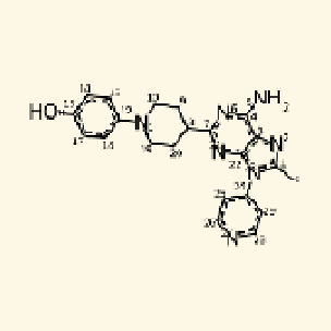 Cc1nc2c(N)nc(C3CCN(c4ccc(O)cc4)CC3)nc2n1-c1ccncc1